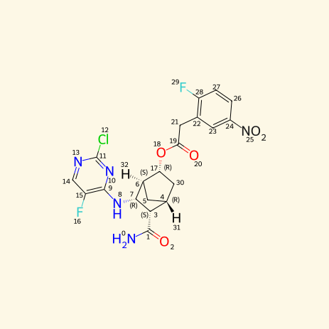 NC(=O)[C@H]1[C@@H]2C[C@@H]([C@H]1Nc1nc(Cl)ncc1F)[C@H](OC(=O)Cc1cc([N+](=O)[O-])ccc1F)C2